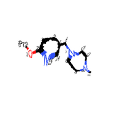 CC(C)Oc1ccc(CN2CCN(C)CC2)cn1